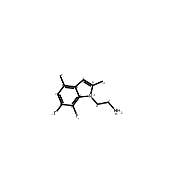 Cc1cc(F)c(F)c2c1cc(C)n2CCN